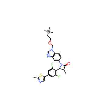 Cc1ncc(-c2cc(F)c(C3C(C)C(=O)N3c3ccc4c(c3)ncn4COCC[Si](C)(C)C)c(F)c2)s1